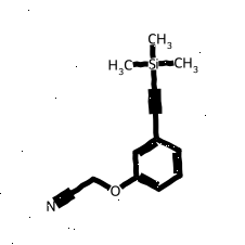 C[Si](C)(C)C#Cc1cccc(OCC#N)c1